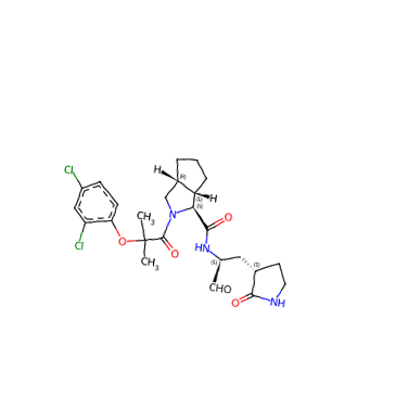 CC(C)(Oc1ccc(Cl)cc1Cl)C(=O)N1C[C@@H]2CCC[C@@H]2[C@H]1C(=O)N[C@H](C=O)C[C@@H]1CCNC1=O